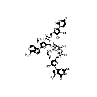 CCOC[C@H]1[C@@H](O)[C@H](n2c[n+](C)c3c(=O)[nH]c(N)nc32)O[C@@H]1COP(=O)(O)OP(=O)(O)OP(=O)(O)OC[C@H]1O[C@@H](n2cnc3c(N)ncnc32)[C@H](OC)[C@@H]1OP(=O)([O-])OC[C@H]1O[C@@H](n2ccc(=O)[nH]c2=O)[C@H](O)[C@@H]1O